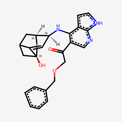 O=C(COCc1ccccc1)c1cnc2[nH]ccc2c1N[C@H]1C=C2C3C[C@@H]1C[C@]2(O)C3